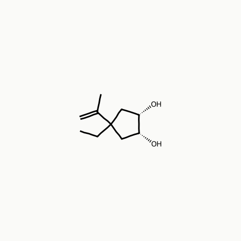 C=C(C)C1(CC)C[C@@H](O)[C@@H](O)C1